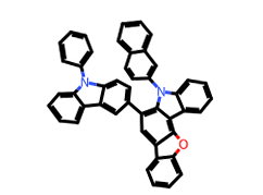 c1ccc(-n2c3ccccc3c3cc(-c4cc5c6ccccc6oc5c5c6ccccc6n(-c6ccc7ccccc7c6)c45)ccc32)cc1